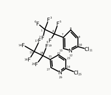 FC(F)(F)C(F)(F)c1ccc(Cl)nc1.FC(F)(F)C(F)(F)c1ccc(Cl)nc1